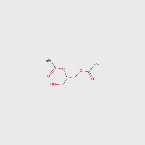 CCCC(=O)OC[C@H](CO)OC(=O)CCC